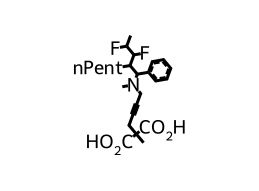 CCCCCC(C(F)C(C)F)C(c1ccccc1)N(C)CC#CCC(C)(C(=O)O)C(=O)O